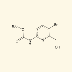 CC(C)(C)OC(=O)Nc1ccc(Br)c(CO)n1